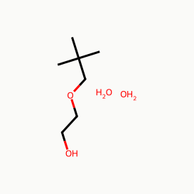 CC(C)(C)COCCO.O.O